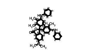 Cc1c(Nc2ccccc2)ccc(C2(c3ccc(Nc4ccccc4)c(C)c3C)OC(=O)c3cc(N(C)C)ccc32)c1C